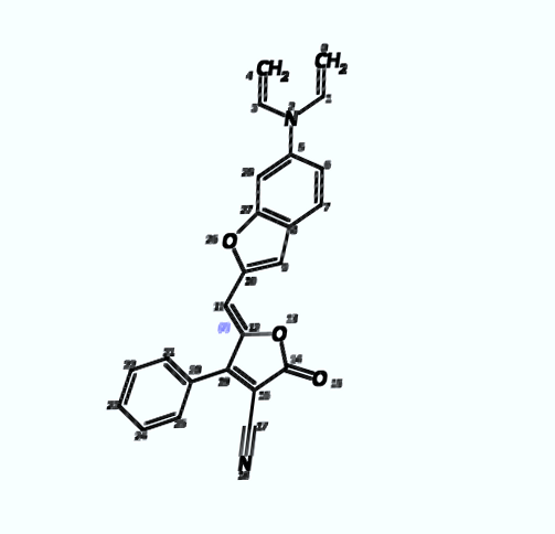 C=CN(C=C)c1ccc2cc(/C=C3\OC(=O)C(C#N)=C3c3ccccc3)oc2c1